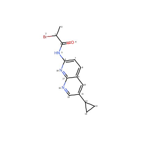 CC(Br)C(=O)Nc1ccc2cc(C3CC3)cnc2n1